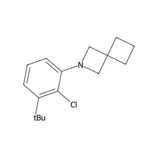 CC(C)(C)c1cccc(N2CC3(CCC3)C2)c1Cl